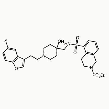 CCOC(=O)N1CCc2c(cccc2S(=O)(=O)NCC2(O)CCN(CCc3coc4ccc(F)cc34)CC2)C1